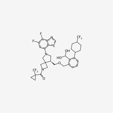 O=C(N1CC2(C1)CN(c1cc(F)c(F)c3ncsc13)C[C@H]2COCc1cccc(C2CCC(C(F)(F)F)CC2)c1C(O)O)C1(C(F)(F)F)CC1